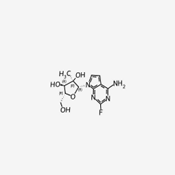 C[C@@]1(O)[C@H](O)[C@@H](CO)O[C@H]1n1ccc2c(N)nc(F)nc21